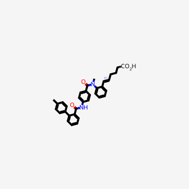 Cc1ccc(-c2ccccc2C(=O)Nc2ccc(C(=O)N(C)c3ccccc3/C=C/CCCC(=O)O)cc2)cc1